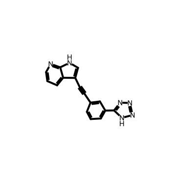 C(#Cc1c[nH]c2ncccc12)c1cccc(-c2nnn[nH]2)c1